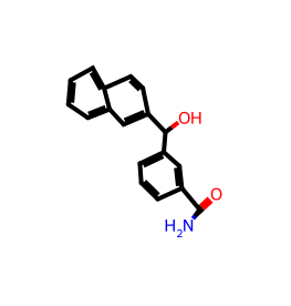 NC(=O)c1cccc(C(O)c2ccc3ccccc3c2)c1